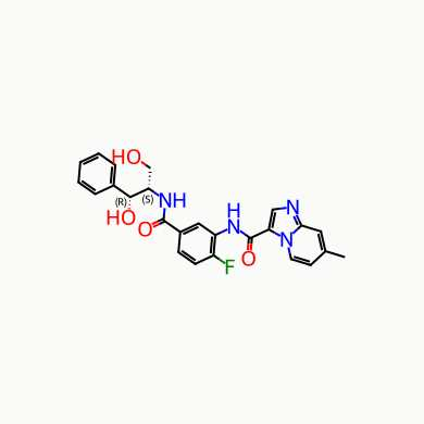 Cc1ccn2c(C(=O)Nc3cc(C(=O)N[C@@H](CO)[C@H](O)c4ccccc4)ccc3F)cnc2c1